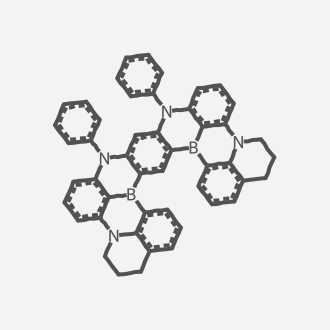 c1ccc(N2c3cc4c(cc3B3c5cccc6c5N(CCC6)c5cccc2c53)B2c3cccc5c3N(CCC5)c3cccc(c32)N4c2ccccc2)cc1